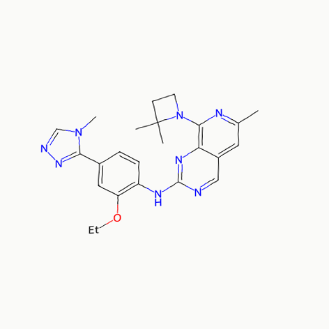 CCOc1cc(-c2nncn2C)ccc1Nc1ncc2cc(C)nc(N3CCC3(C)C)c2n1